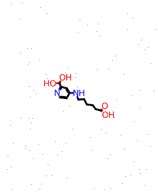 O=C(O)CCCCCNc1ccnc(C(O)O)c1